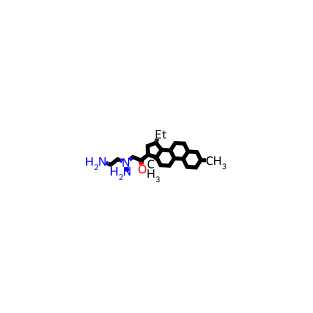 CCC1CC(C(=O)CN(N)CCN)C2(C)CCC3C4CCC(C)CC4CCC3C12